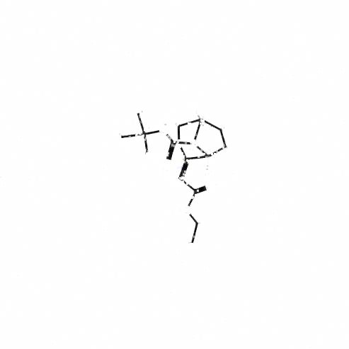 CCOC(=O)/C=C1/NC[C@H]2CC[C@@H]1N2C(=O)OC(C)(C)C